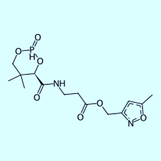 Cc1cc(COC(=O)CCNC(=O)[C@@H]2O[PH](=O)OCC2(C)C)no1